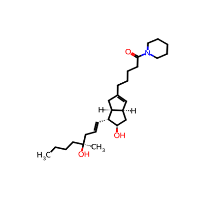 CCCC[C@](C)(O)C/C=C/[C@@H]1[C@H]2CC(CCCCC(=O)N3CCCCC3)=C[C@H]2C[C@H]1O